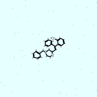 FC(F)(F)c1ccccc1C(=CC1CN(Cc2ccccc2)CCO1)c1ccccc1